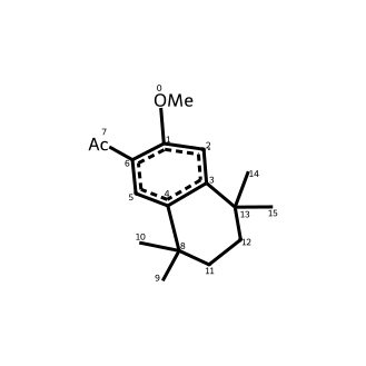 COc1[c]c2c(cc1C(C)=O)C(C)(C)CCC2(C)C